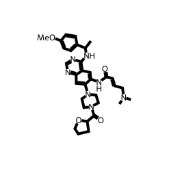 COc1ccc(C(C)Nc2ncnc3cc(N4CCN(C(=O)C5CCCO5)CC4)c(NC(=O)/C=C/CN(C)C)cc23)cc1